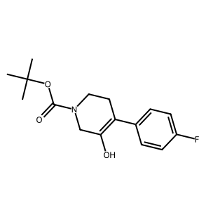 CC(C)(C)OC(=O)N1CCC(c2ccc(F)cc2)=C(O)C1